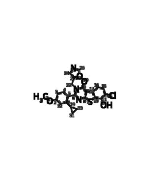 COc1ccc(-c2nc3sc4c(O)c(Cl)ccc4c3c(=O)n2Cc2cnco2)c(C2CC2)c1